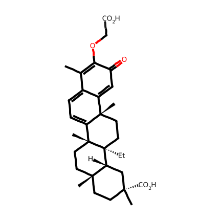 CC[C@@]12CC[C@@]3(C)C4=CC(=O)C(OCC(=O)O)=C(C)C4=CC=C3[C@@]1(C)CC[C@@]1(C)CC[C@@](C)(C(=O)O)C[C@H]12